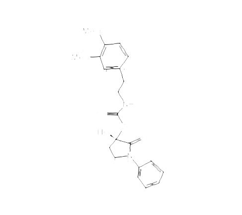 COc1ccc(CCNC(=O)O[C@@]2(O)CCN(c3ccccc3)C2=O)cc1OC